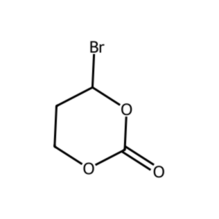 O=C1OCCC(Br)O1